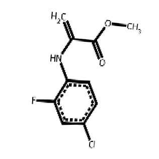 C=C(Nc1ccc(Cl)cc1F)C(=O)OC